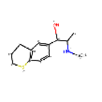 CCCCCCCCNC(C)C(O)c1ccc2c(c1)CCCS2